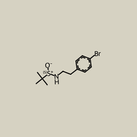 CC(C)(C)[S@@+]([O-])NCCc1ccc(Br)cc1